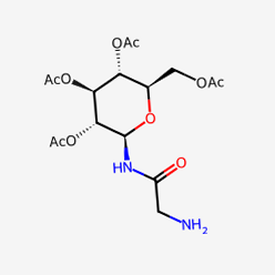 CC(=O)OC[C@H]1O[C@@H](NC(=O)CN)[C@H](OC(C)=O)[C@@H](OC(C)=O)[C@@H]1OC(C)=O